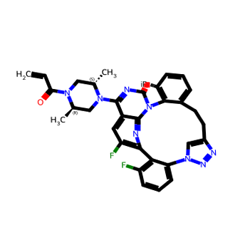 C=CC(=O)N1C[C@H](C)N(c2nc(=O)n3c4nc(c(F)cc24)-c2c(F)cccc2-n2cc(nn2)CCc2cccc(C(C)C)c2-3)C[C@H]1C